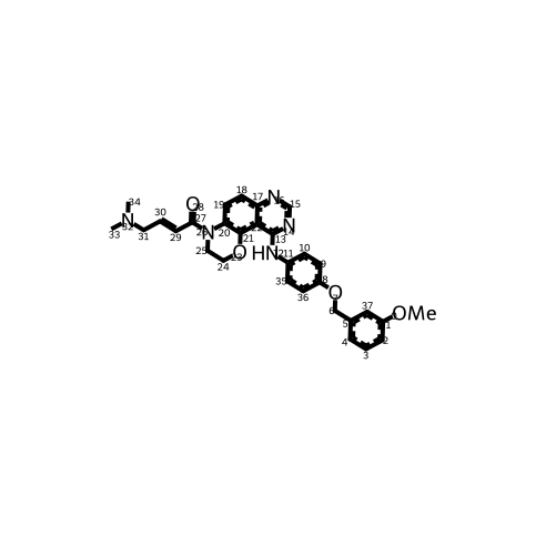 COc1cccc(COc2ccc(Nc3ncnc4ccc5c(c34)OCCN5C(=O)/C=C/CN(C)C)cc2)c1